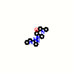 C1=c2c3c(n4c5ccccc5c5ccc6oc7ccc(c3c7c6c54)n2-c2nc(-c3ccc4ccccc4n3)c3ccccc3n2)CC1